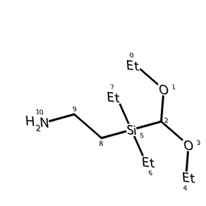 CCOC(OCC)[Si](CC)(CC)CCN